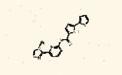 CC(C)n1cnnc1-c1cccc(NC(=O)c2ccc(-c3cccs3)[nH]2)n1